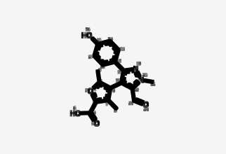 Cc1oc(C(=O)O)c(C)c1-c1c(-c2ccc(O)cc2)nn(C)c1C=O